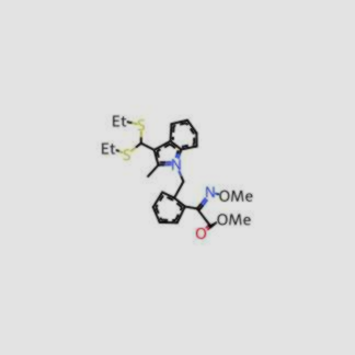 CCSC(SCC)c1c(C)n(Cc2ccccc2C(=NOC)C(=O)OC)c2ccccc12